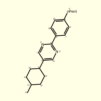 CCCCCc1ccc(-c2ncc(C3CCC(C)CC3)cn2)cc1